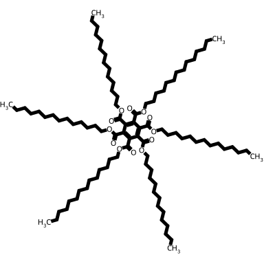 CCCCCCCCCCCCCCOC(=O)c1c(C(=O)OCCCCCCCCCCCCCC)c(C(=O)OCCCCCCCCCCCCCC)c(C(=O)OCCCCCCCCCCCCCC)c(C(=O)OCCCCCCCCCCCCCC)c1C(=O)OCCCCCCCCCCCCCC